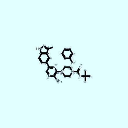 Cc1n[nH]c2ccc(-c3cnc(N)c(N4CCN(C(=O)OC(C)(C)C)[C@@H](Cc5ccccc5)C4)n3)cc12